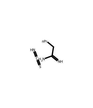 CCCCC(=N)N.N=C=S